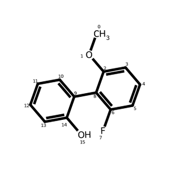 COc1cccc(F)c1-c1ccccc1O